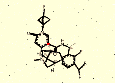 C[C@@H](NC(=O)c1cn(C23CC(F)(C2)C3)c(=O)cc1N[C@@H]1[C@@H]2CC[C@H]1CN(C)C2)c1cccc(C(F)F)c1F